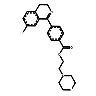 O=C(OCCN1CCOCC1)c1ccc(C2=NCCc3ccc(Cl)cc32)cc1